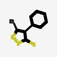 CCc1ssc(=S)c1-c1ccccc1